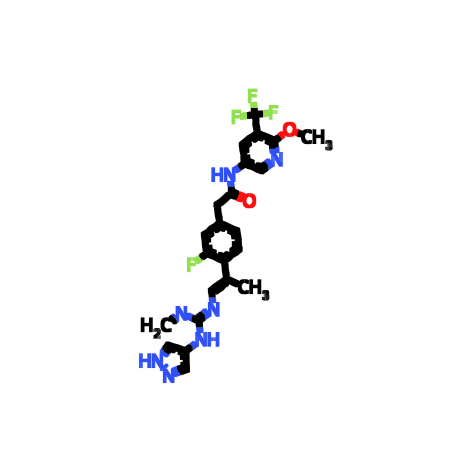 C=N/C(=N\C=C(/C)c1ccc(CC(=O)Nc2cnc(OC)c(C(F)(F)F)c2)cc1F)Nc1cn[nH]c1